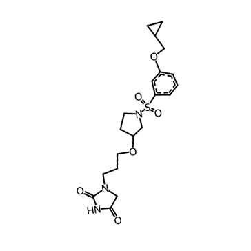 O=C1CN(CCCOC2CCN(S(=O)(=O)c3cccc(OCC4CC4)c3)C2)C(=O)N1